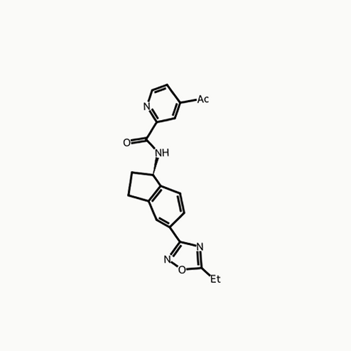 CCc1nc(-c2ccc3c(c2)CC[C@H]3NC(=O)c2cc(C(C)=O)ccn2)no1